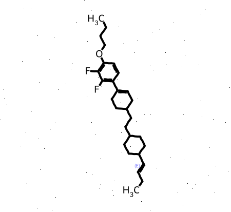 CC/C=C/C1CCC(CCC2CC=C(c3ccc(OCCCC)c(F)c3F)CC2)CC1